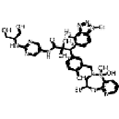 CCC1CN(Cc2cc(C(c3ccc4c(nnn4CC)c3C)C(C)(C)C(=O)Nc3cnc(NC(CO)CO)nc3)ccc2C)S(O)(O)c2cccnc2O1